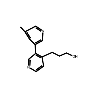 Cc1cncc(-c2cnccc2CCCO)c1